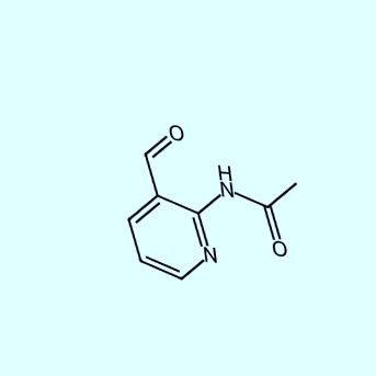 CC(=O)Nc1ncccc1C=O